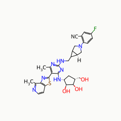 Cc1nc(NCC2C3CN(c4ccc(F)cc4C#N)C[C@@H]23)nc(N[C@@H]2C[C@H](CO)[C@@H](O)[C@H]2O)c1-c1nc2c(C)nccc2s1